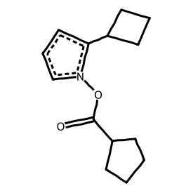 O=C(On1cccc1C1CCC1)C1CCCC1